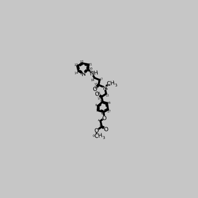 COC(=O)COc1ccc(C(=O)CN(C)C(=O)CCNc2ccccn2)cc1